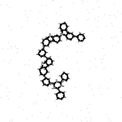 c1ccc(-c2ccc3c(c2)c2ccccc2n3-c2ccc3c(c2)oc2ccc(-c4cccc(-c5cccc6c5oc5ccc(-c7cccc(-c8nc(-c9ccccc9)nc(-c9ccccc9)n8)c7)cc56)c4)cc23)cc1